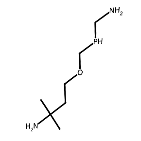 CC(C)(N)CCOCPCN